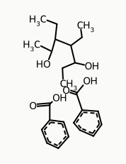 CCC(O)C(CC)C(CC)C(C)O.O=C(O)c1ccccc1.O=C(O)c1ccccc1